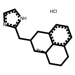 CC(C)C12CCCc3cccc(c31)CC(Cc1ncc[nH]1)C2.Cl